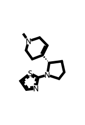 CN1CC=C([C@@H]2CCCN2c2nccs2)CC1